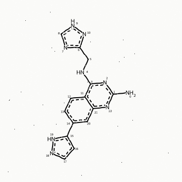 Nc1nc(NCc2nc[nH]n2)c2ccc(-c3ccn[nH]3)cc2n1